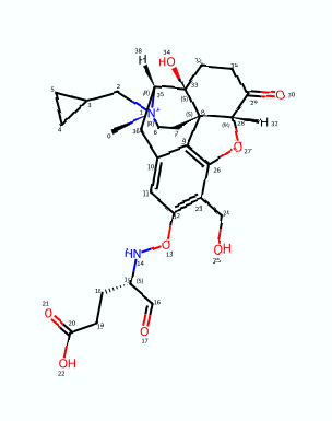 C[N@+]1(CC2CC2)CC[C@]23c4c5cc(ON[C@H](C=O)CCC(=O)O)c(CO)c4O[C@H]2C(=O)CC[C@@]3(O)[C@H]1C5